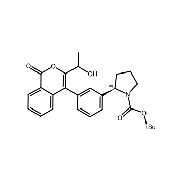 CC(O)c1oc(=O)c2ccccc2c1-c1cccc([C@H]2CCCN2C(=O)OC(C)(C)C)c1